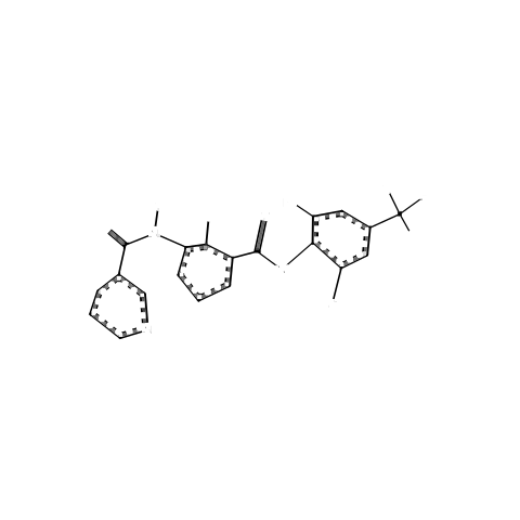 CN(C(=O)c1cccnc1)c1cccc(C(=O)Nc2c(Cl)cc(C(F)(C(F)(F)F)C(F)(F)F)cc2Br)c1F